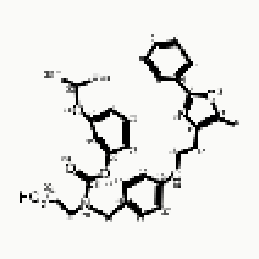 Cc1oc(-c2ccccc2)nc1CCOc1ccc(CN(CC(=O)O)C(=O)Oc2cccc(OC(F)F)c2)cc1